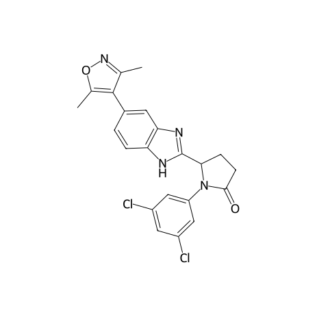 Cc1noc(C)c1-c1ccc2[nH]c(C3CCC(=O)N3c3cc(Cl)cc(Cl)c3)nc2c1